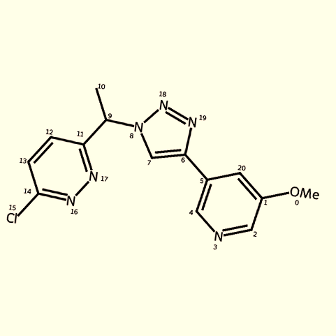 COc1cncc(-c2cn(C(C)c3ccc(Cl)nn3)nn2)c1